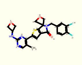 Cc1cnc(NC2COC2)nc1-c1cc2c(s1)C1(COC1)N(Cc1ccc(F)c(F)c1)C2=O